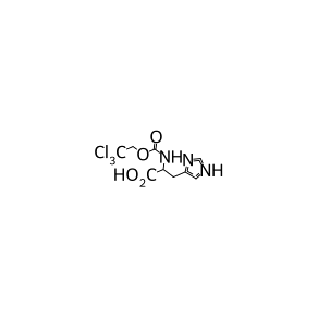 O=C(NC(Cc1c[nH]cn1)C(=O)O)OCC(Cl)(Cl)Cl